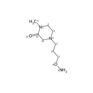 CN1CCN(CCCON)CC1=O